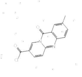 Cc1ccc2nc3ccc(C(=O)Cl)cn3c(=O)c2c1